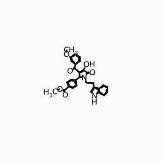 COC(=O)c1ccc(C2C(C(=O)c3cccc(OC)c3)=C(O)C(=O)N2CCc2c[nH]c3ccccc23)cc1